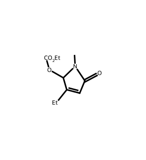 CCOC(=O)OC1C(CC)=CC(=O)N1C